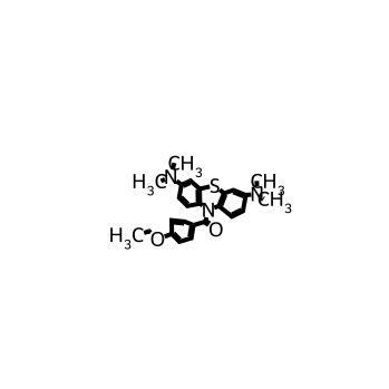 CCOc1ccc(C(=O)N2c3ccc(N(C)C)cc3Sc3cc(N(C)C)ccc32)cc1